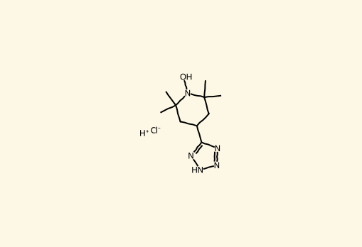 CC1(C)CC(c2nn[nH]n2)CC(C)(C)N1O.[Cl-].[H+]